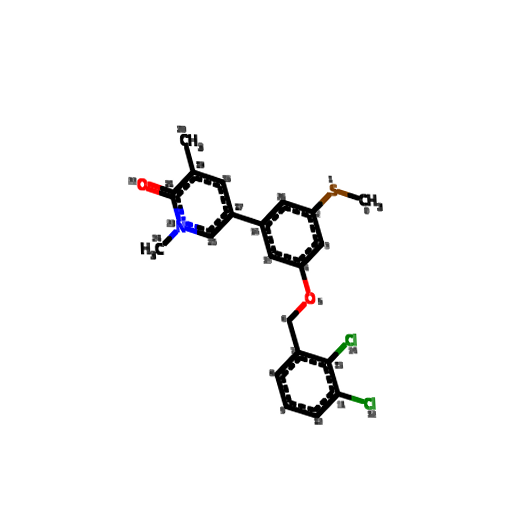 CSc1cc(OCc2cccc(Cl)c2Cl)cc(-c2cc(C)c(=O)n(C)c2)c1